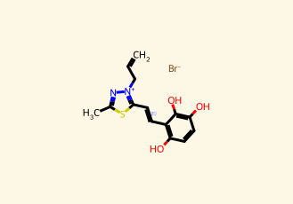 C=CC[n+]1nc(C)sc1/C=C/c1c(O)ccc(O)c1O.[Br-]